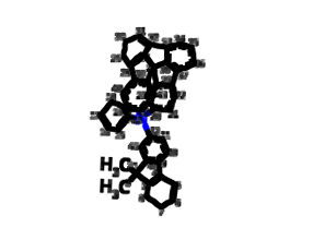 CC1(C)C2=C(C=CCC2)c2ccc(N(C3=CC=CCC3)c3ccc4c(c3)C35C6=C(CCC=C6c6cccc-4c63)c3ccccc35)cc21